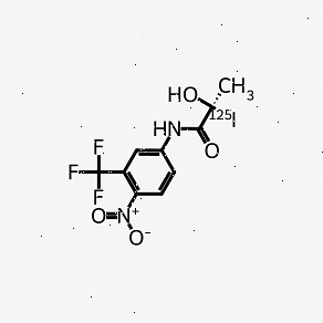 C[C@](O)([125I])C(=O)Nc1ccc([N+](=O)[O-])c(C(F)(F)F)c1